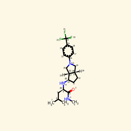 CNC(=O)[C@@H](CC(C)C)N[C@@H]1CC[C@H]2CN(c3ccc(C(F)(F)F)cc3)C[C@H]21